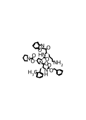 Cc1ccccc1C[C@@H](NC(=O)OCc1ccccc1)C(=O)N1C[C@H](OC(=O)N2CCCCC2)C[C@H]1C(=O)N[C@@H](CCCCN)C(=O)c1nc2ccccc2o1